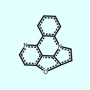 c1ccc2c(c1)c1nccc3oc4ccn2c4c31